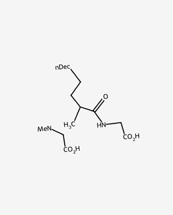 CCCCCCCCCCCCC(C)C(=O)NCC(=O)O.CNCC(=O)O